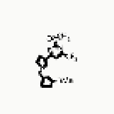 COc1cccc(Cn2ccc(-c3cc(C(F)(F)F)nc([S+](C)[O-])n3)c2)c1